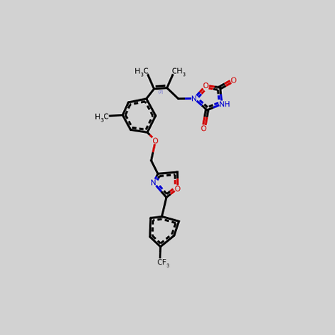 C/C(Cn1oc(=O)[nH]c1=O)=C(\C)c1cc(C)cc(OCc2coc(-c3ccc(C(F)(F)F)cc3)n2)c1